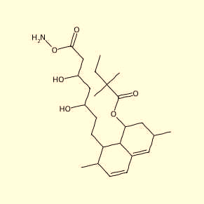 CCC(C)(C)C(=O)OC1CC(C)C=C2C=CC(C)C(CCC(O)CC(O)CC(=O)ON)C21